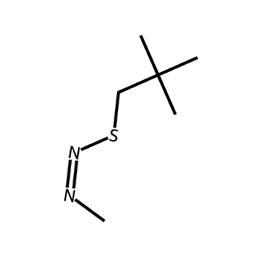 C/N=N\SCC(C)(C)C